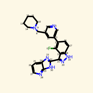 Fc1c(-c2cncc(CN3CCCCC3)c2)ccc2[nH]nc(-c3nc4cccnc4[nH]3)c12